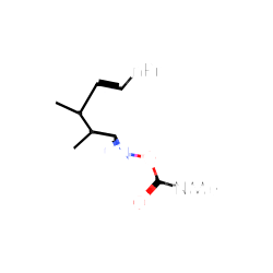 CCC/C=C/C(C)C(C)/C=N/OC(=O)NC